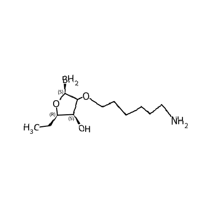 B[C@@H]1O[C@H](CC)[C@H](O)C1OCCCCCCN